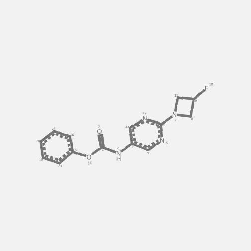 O=C(Nc1cnc(N2CC(F)C2)nc1)Oc1ccccc1